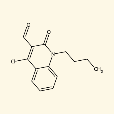 CCCCn1c(=O)c(C=O)c(Cl)c2ccccc21